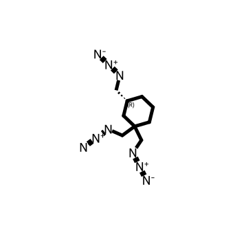 [N-]=[N+]=NC[C@@H]1CCCC(CN=[N+]=[N-])(CN=[N+]=[N-])C1